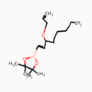 C=CCOC(C=CB1OC(C)(C)C(C)(C)O1)CCCCC